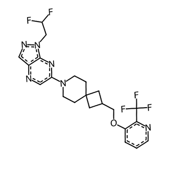 FC(F)Cn1ncc2ncc(N3CCC4(CC3)CC(COc3cccnc3C(F)(F)F)C4)nc21